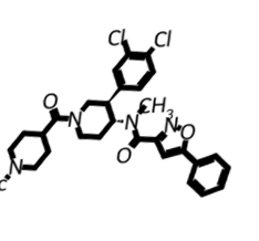 CC(=O)N1CCC(C(=O)N2CC[C@@H](N(C)C(=O)c3cc(-c4ccccc4)on3)[C@H](c3ccc(Cl)c(Cl)c3)C2)CC1